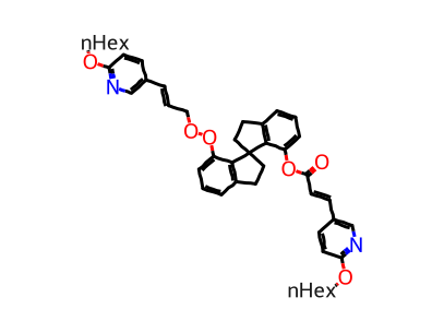 CCCCCCOc1ccc(/C=C/COOc2cccc3c2C2(CC3)CCc3cccc(OC(=O)/C=C/c4ccc(OCCCCCC)nc4)c32)cn1